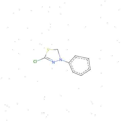 ClC1=NN(c2ccccc2)CS1